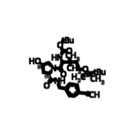 C#Cc1ccc(CNC(=O)[C@@H]2C[C@@H](O)CN2C(=O)C(NC(=O)OC(C)(C)C)C(C)(C)CCO[Si](C)(C)C(C)(C)C)cc1